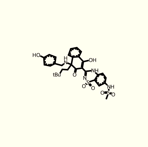 CC(C)(C)CCC1(NCc2ccc(O)cc2)C(=O)C(C2=NS(=O)(=O)c3cc(NS(C)(=O)=O)ccc3N2)=C(O)c2ccccc21